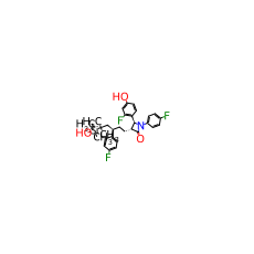 CC(C)(C[C@@H](CC[C@H]1C(=O)N(c2ccc(F)cc2)[C@@H]1c1ccc(O)cc1F)c1ccc(F)cc1)[Si](C)(C)O